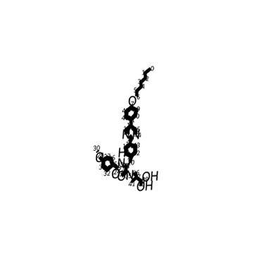 CCCCCCCOc1ccc(-c2cnc(-c3ccc(C[C@H](NC(=O)c4ccc(OC)cc4)C(=O)N4CC(C(O)O)C4)cc3)nc2)cc1